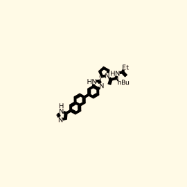 C=C(CC)N[C@@H](CCCC)C(=C)N1CCC[C@H]1c1nc2ccc(-c3ccc4cc(-c5cnc[nH]5)ccc4c3)cc2[nH]1